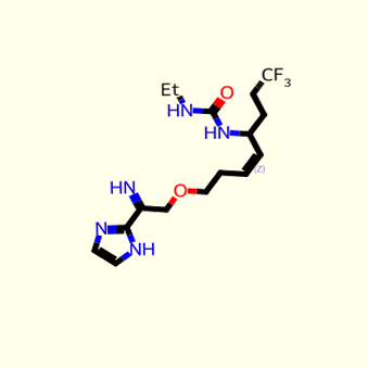 CCNC(=O)NC(/C=C\CCOCC(=N)c1ncc[nH]1)CCC(F)(F)F